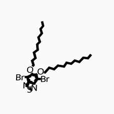 CCCCCCCCCCCCOc1c(OCCCCCCCCCCCC)c(Br)c2nsnc2c1Br